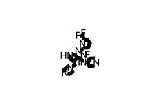 CN1CCN(Cc2c[nH]c3nc(-c4cccc(C(F)F)n4)nc(Nc4ccncc4F)c23)CC1